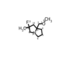 COCC12CCCN1CC(C)(F)C2